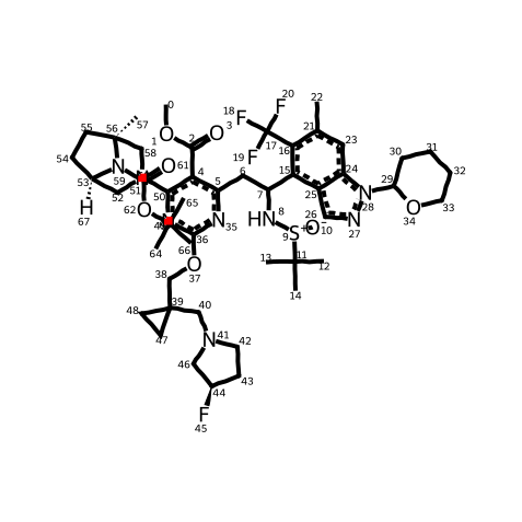 COC(=O)c1c(CC(N[S+]([O-])C(C)(C)C)c2c(C(F)(F)F)c(C)cc3c2cnn3C2CCCCO2)nc(OCC2(CN3CC[C@@H](F)C3)CC2)nc1N1C[C@H]2CC[C@@](C)(C1)N2C(=O)OC(C)(C)C